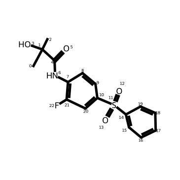 CC(C)(O)C(=O)Nc1ccc(S(=O)(=O)c2ccccc2)cc1F